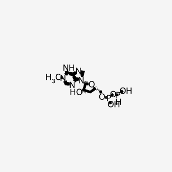 Cn1cnc2c(ncn2[C@@H]2O[C@H](COP(O)OPO)C[C@H]2O)c1=N